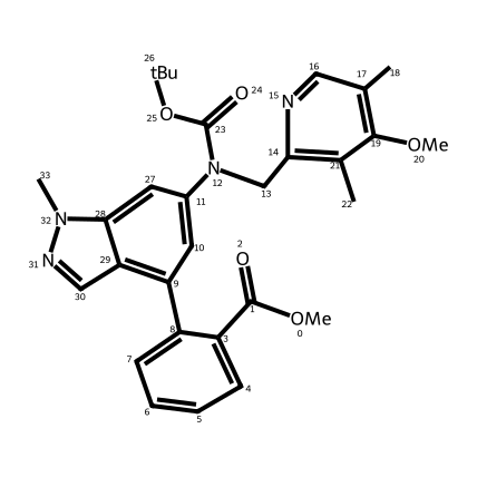 COC(=O)c1ccccc1-c1cc(N(Cc2ncc(C)c(OC)c2C)C(=O)OC(C)(C)C)cc2c1cnn2C